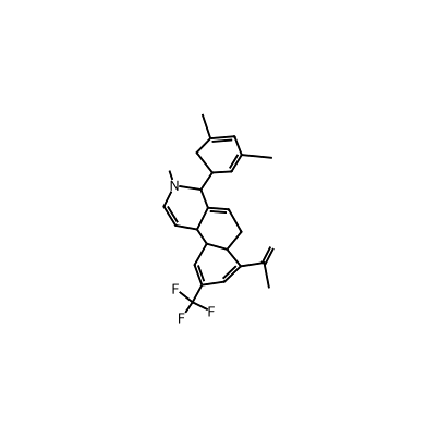 C=C(C)C1=CC(C(F)(F)F)=CC2C3C=CN(C)C(C4C=C(C)C=C(C)C4)C3=CCC12